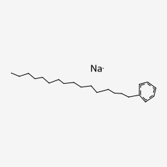 CCCCCCCCCCCCCCCCc1ccccc1.[Na]